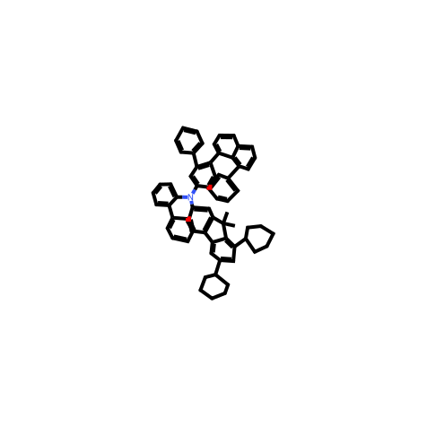 CC1(C)c2cc(N(c3ccc(-c4cccc5cccc(-c6ccccc6)c45)c(-c4ccccc4)c3)c3ccccc3-c3ccccc3)ccc2-c2cc(C3CCCCC3)cc(C3CCCCC3)c21